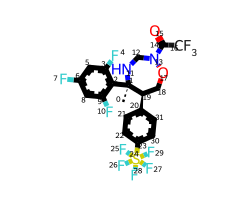 C[C@]1(c2c(F)cc(F)cc2F)NCN(C(=O)C(F)(F)F)OC[C@H]1c1ccc(S(F)(F)(F)(F)F)cc1